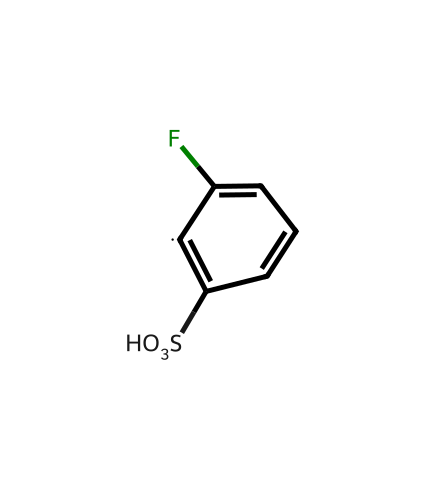 O=S(=O)(O)c1[c]c(F)ccc1